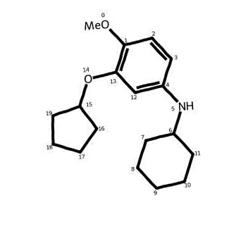 COc1ccc(NC2CCCCC2)cc1OC1CCCC1